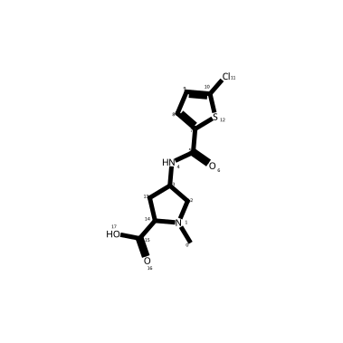 CN1CC(NC(=O)c2ccc(Cl)s2)CC1C(=O)O